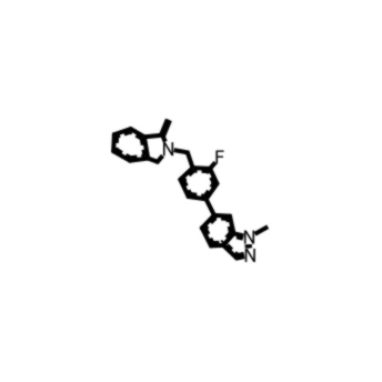 C=C1c2ccccc2CN1Cc1ccc(-c2ccc3cnn(C)c3c2)cc1F